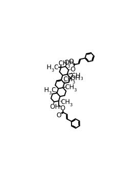 CC[C@@]12C(CC(C)(C)[C@@H](O)[C@@H]1OC(=O)/C=C/c1ccccc1)C1=CCC3[C@@]4(C)CC[C@H](O)[C@](C)(COC(=O)/C=C/c5ccccc5)C4CC[C@@]3(C)[C@]1(C)C[C@H]2O